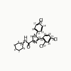 O=C(NN1CCCCC1)C1CN(c2ccc(Cl)cc2)C(c2ccc(Cl)cc2Cl)=N1